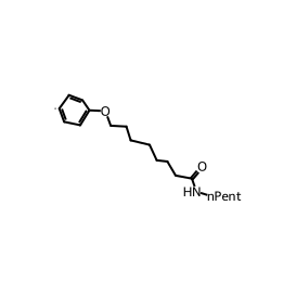 CCCCCNC(=O)CCCCCCCOc1cc[c]cc1